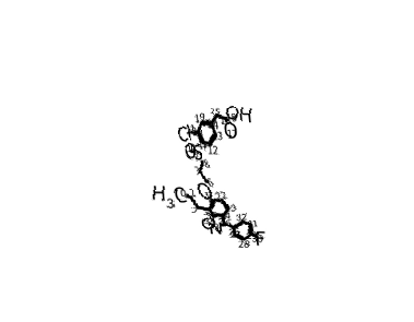 CCCc1c(OCCC[S+]([O-])c2ccc(CC(=O)O)cc2Cl)ccc2c(-c3ccc(F)cc3)noc12